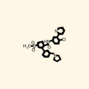 CS(=O)(=O)c1ccc(C(=O)Nc2ccc(Cl)c(-c3ccccn3)c2)c(-c2cccc(CN3CCCC3)c2)c1